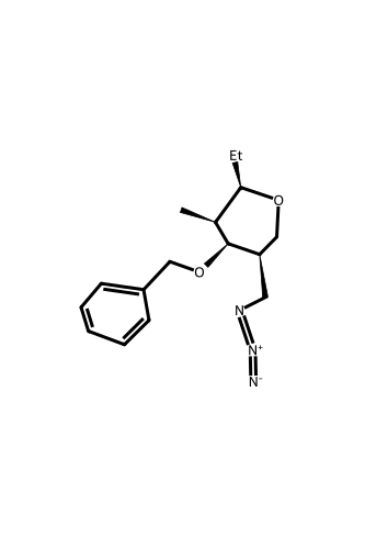 CC[C@H]1OC[C@@H](CN=[N+]=[N-])[C@@H](OCc2ccccc2)[C@H]1C